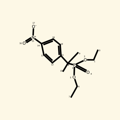 CCOP(=O)(OCC)C(C)(C)c1ccc([N+](=O)[O-])cc1